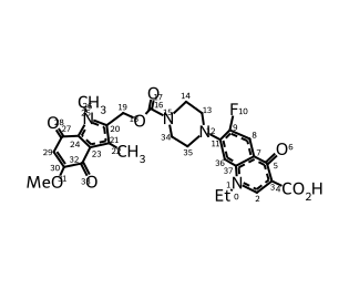 CCn1cc(C(=O)O)c(=O)c2cc(F)c(N3CCN(C(=O)OCc4c(C)c5c(n4C)C(=O)C=C(OC)C5=O)CC3)cc21